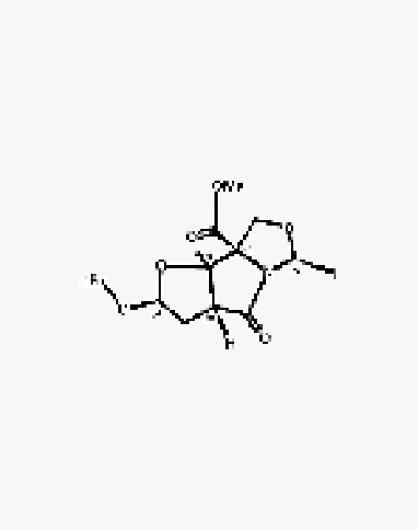 CCCCO[C@@H]1C[C@H]2C(=O)N3[C@H](I)OC[C@@]3(C(=O)OC)[C@@]2(C)O1